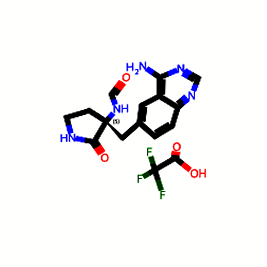 Nc1ncnc2ccc(C[C@]3(NC=O)CCNC3=O)cc12.O=C(O)C(F)(F)F